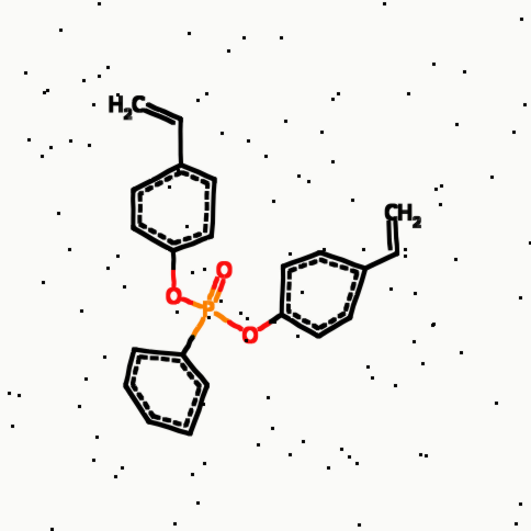 C=Cc1ccc(OP(=O)(Oc2ccc(C=C)cc2)c2ccccc2)cc1